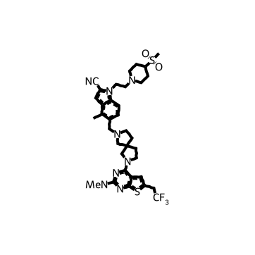 CNc1nc(N2CCC3(CCN(Cc4ccc5c(cc(C#N)n5CCN5CCC(S(C)(=O)=O)CC5)c4C)C3)C2)c2cc(CC(F)(F)F)sc2n1